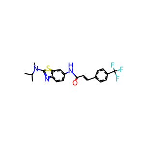 CC(C)N(C)c1nc2ccc(NC(=O)C=Cc3ccc(C(F)(F)F)cc3)cc2s1